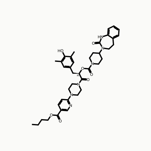 CCCCOC(=O)c1ccc(N2CCN(C(=O)[C@@H](Cc3cc(C)c(O)c(C)c3)OC(=O)N3CCC(N4CCc5ccccc5NC4=O)CC3)CC2)nc1